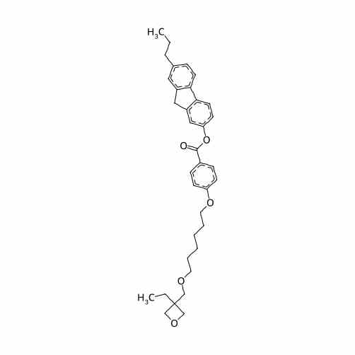 CCCc1ccc2c(c1)Cc1cc(OC(=O)c3ccc(OCCCCCCOCC4(CC)COC4)cc3)ccc1-2